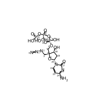 [N-]=[N+]=NC[C@]1(COP(=O)(O)OP(=O)(O)OP(=O)(O)O)O[C@@H](n2ccc(N)nc2=O)C[C@@H]1O